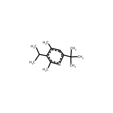 Cc1cc(C(C)(C)C)nc(C)c1C(C)C